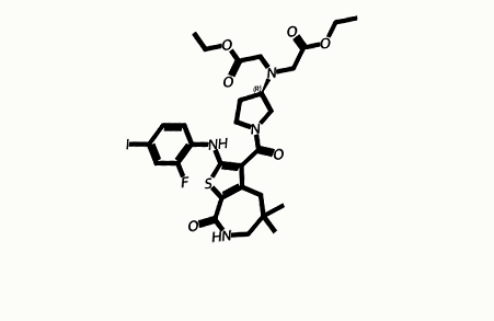 CCOC(=O)CN(CC(=O)OCC)[C@@H]1CCN(C(=O)c2c(Nc3ccc(I)cc3F)sc3c2CC(C)(C)CNC3=O)C1